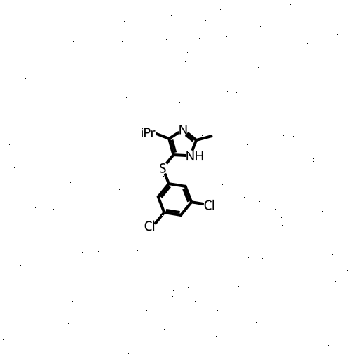 Cc1nc(C(C)C)c(Sc2cc(Cl)cc(Cl)c2)[nH]1